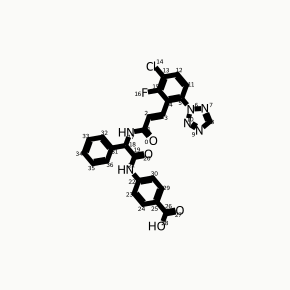 O=C(C=Cc1c(-n2ncnn2)ccc(Cl)c1F)NC(C(=O)Nc1ccc(C(=O)O)cc1)c1ccccc1